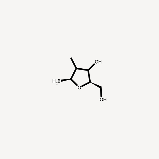 B[C@@H]1O[C@H](CO)C(O)C1C